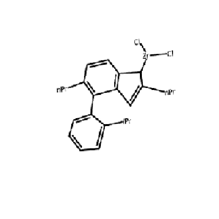 CCCC1=Cc2c(ccc(CCC)c2-c2ccccc2C(C)C)[CH]1[Zr]([Cl])[Cl]